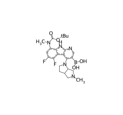 CN1CC2CCN(c3c(B(O)O)cnc4[nH]c5c(N(C)C(=O)OC(C)(C)C)cc(F)c(F)c5c34)C2C1